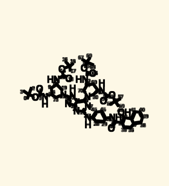 CC(C)(C)OC(=O)N[C@@H]1C[C@H](NC(=O)OC(C)(C)C)CN(c2nc3nc(Nc4ccc(NC(=O)c5ccc6ccccc6c5O)cc4)nc(N4C[C@H](NC(=O)OC(C)(C)C)C[C@H](NC(=O)OC(C)(C)C)C4)c3[nH]2)C1